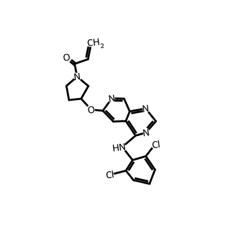 C=CC(=O)N1CCC(Oc2cc3c(Nc4c(Cl)cccc4Cl)ncnc3cn2)C1